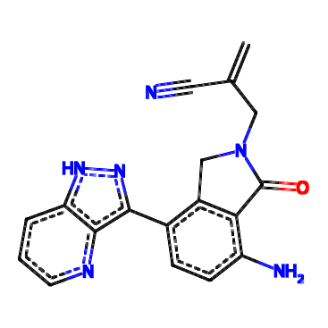 C=C(C#N)CN1Cc2c(-c3n[nH]c4cccnc34)ccc(N)c2C1=O